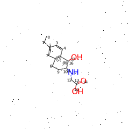 CCc1ccc2c(c1)CCC(NCC(=O)O)[C@@H]2O